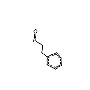 O=PCCc1ccccc1